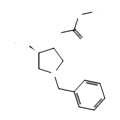 CO[C@@H]1CN(Cc2ccccc2)C[C@H]1NC(=O)OC(C)(C)C